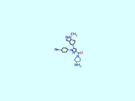 Cn1ncc2cc(-c3cc(C(=O)N4CCC(N)CC4)nn3-c3ccc(C#N)cc3)ccc21